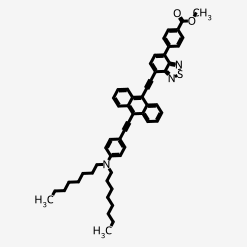 CCCCCCCCN(CCCCCCCC)c1ccc(C#Cc2c3ccccc3c(C#Cc3ccc(-c4ccc(C(=O)OC)cc4)c4nsnc34)c3ccccc23)cc1